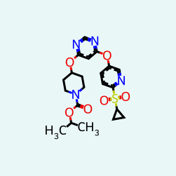 CC(C)OC(=O)N1CCC(Oc2cc(Oc3ccc(S(=O)(=O)C4CC4)nc3)ncn2)CC1